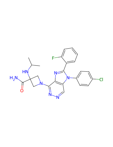 CC(C)NC1(C(N)=O)CN(c2nncc3c2nc(-c2ccccc2F)n3-c2ccc(Cl)cc2)C1